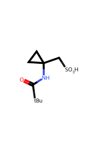 CC(C)(C)C(=O)NC1(CS(=O)(=O)O)CC1